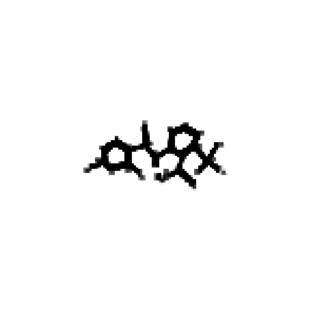 CC(=O)c1c(NC(=O)c2ccc(F)cc2F)cccc1C(F)(F)F